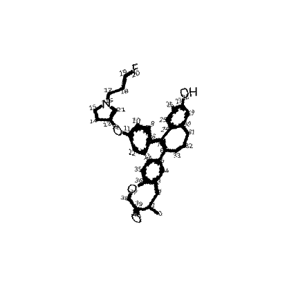 CC1Cc2cc(C3=C(c4ccc(OC5CCN(CCCF)C5)cc4)c4ccc(O)cc4CCC3)ccc2OCC1=O